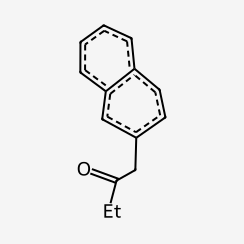 CCC(=O)Cc1ccc2ccccc2c1